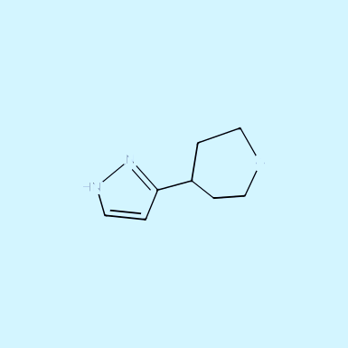 c1cc(C2CCOCC2)n[nH]1